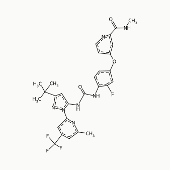 CNC(=O)c1cc(Oc2ccc(NC(=O)Nc3cc(C(C)(C)C)nn3-c3cc(C(F)(F)F)cc(C)n3)c(F)c2)ccn1